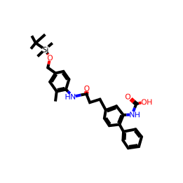 Cc1cc(CO[Si](C)(C)C(C)(C)C)ccc1NC(=O)CCc1ccc(-c2ccccc2)c(NC(=O)O)c1